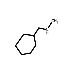 CNC[C]1CCCCC1